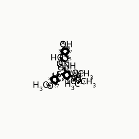 COc1ccc(Sc2ccc(S(=O)(=O)N(C)C(C)C)cc2C(=O)N[C@H](Cc2ccc(O)cc2)C(=O)O)cc1